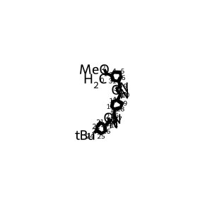 C=C(OC)c1cccc(-c2nnc(-c3ccc(-c4nnc(-c5ccc(C(C)(C)C)cc5)o4)cc3)o2)c1